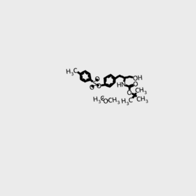 COC.Cc1ccc(S(=O)(=O)Oc2ccc(CC(CO)NC(=O)OC(C)(C)C)cc2)cc1